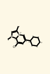 CC1=CN(C)C2C(Cl)=CC(C3CCCCC3)=CN12